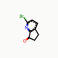 O=C1CCc2ccc(Br)nc21